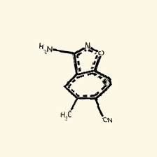 Cc1cc2c(N)noc2cc1C#N